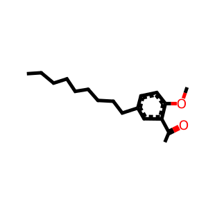 CCCCCCCCCc1ccc(OC)c(C(C)=O)c1